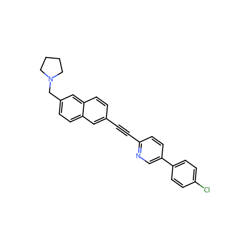 Clc1ccc(-c2ccc(C#Cc3ccc4cc(CN5CCCC5)ccc4c3)nc2)cc1